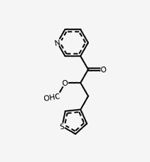 O=COC(Cc1ccsc1)C(=O)c1cccnc1